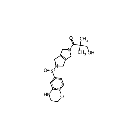 CC(C)(CO)C(=O)N1CC2=C(C1)CN([S+]([O-])c1ccc3c(c1)NCCO3)C2